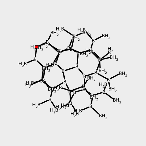 BB(B)B(B(B)B)B(B(B)B)B(B(B(B)B)B(B)B)B(B(B(B(B)B)B(B)B)B(B(B)B)B(B)B)B(B(B(B(B)B)B(B)B)B(B(B)B)B(B)B)B(B(B(B)B)B(B)B)B(B(B)B)B(B)B